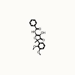 COc1cccc(C2(C)OC(NC(=O)c3ccccc3)=C(O)C2=O)c1OC